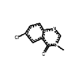 Cn1cnc2ccc(Cl)cc2c1=O